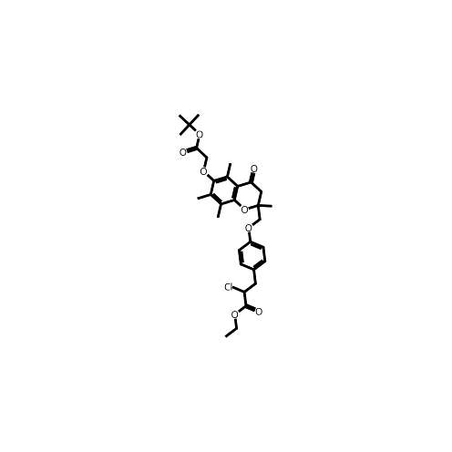 CCOC(=O)C(Cl)Cc1ccc(OCC2(C)CC(=O)c3c(C)c(OCC(=O)OC(C)(C)C)c(C)c(C)c3O2)cc1